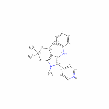 Cn1c2c(c(Nc3ccccc3)c1-c1ccncc1)C(C=O)CC(C)(C)C2